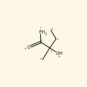 CCC(C)(O)C(=O)P